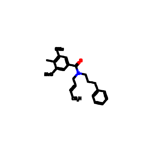 COc1cc(C(=O)N(C/C=C/C(=O)O)CCCc2ccccc2)cc(OC)c1C